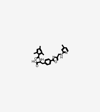 Cc1ccnc(NCc2coc(-c3ccc(CC(NC(=O)c4c(C)cc(C)cc4C)C(=O)O)cc3)n2)c1